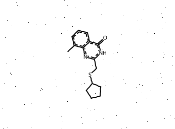 Cc1cccc2c(=O)[nH]c(CSC3CCCC3)nc12